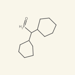 O=[PH2]C(C1CCCCC1)C1CCCCC1